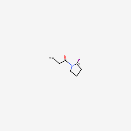 CC(C)(C)CC(=O)N1CCC[C@@H]1I